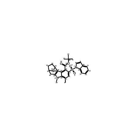 Cc1cc(S(=O)(=O)n2ccc3ccccc32)c(C(=O)OC(C)(C)C)c2c3c(n(C)c12)CC1CCC3N1